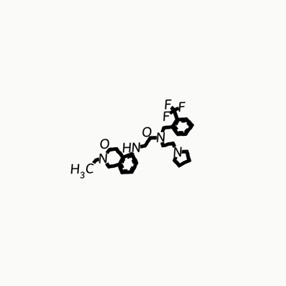 CCN1Cc2cccc(NCC(=O)N(CCN3CCCC3)Cc3ccccc3C(F)(F)F)c2CC1=O